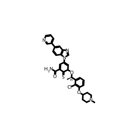 C[C@@H](OC1C=C(n2cnc3cc(-c4cccnc4)ccc32)C=C(C(N)=O)C1=S)c1cccc(OC2CCN(C)CC2)c1Cl